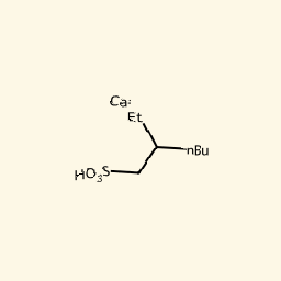 CCCCC(CC)CS(=O)(=O)O.[Ca]